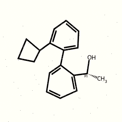 C[C@@H](O)c1ccccc1-c1ccccc1C1CCC1